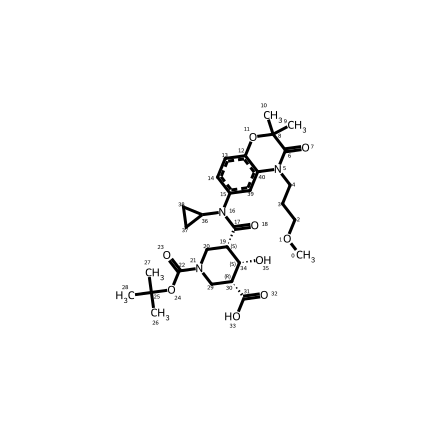 COCCCN1C(=O)C(C)(C)Oc2ccc(N(C(=O)[C@H]3CN(C(=O)OC(C)(C)C)C[C@@H](C(=O)O)[C@H]3O)C3CC3)cc21